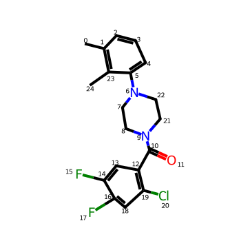 Cc1cccc(N2CCN(C(=O)c3cc(F)c(F)cc3Cl)CC2)c1C